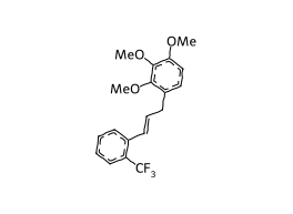 COc1ccc(C/C=C/c2ccccc2C(F)(F)F)c(OC)c1OC